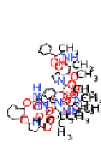 CC[C@H](C)[C@@H]([C@@H](CC(=O)N1CCC[C@H]1[C@H](OC)[C@@H](C)C(=O)N[C@H](C)[C@@H](O)c1ccccc1)OC)N(C)C(=O)[C@H](NC(=O)[C@H](C(C)C)N(C)C(=O)OCc1ccc(NC(=O)OC2/C=C/CCCCC2)c(NCC(=O)ON2C(=O)CCC2=O)c1)C(C)C